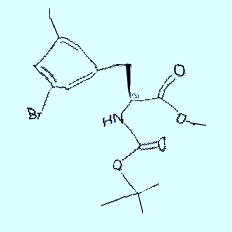 COC(=O)[C@H](Cc1cc(Br)cc(I)c1)NC(=O)OC(C)(C)C